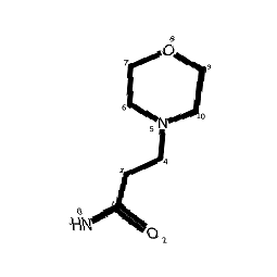 [NH]C(=O)CCN1CCOCC1